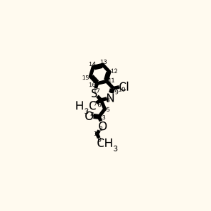 CCOC(=O)CC1(C)N=C(Cl)c2ccccc2S1